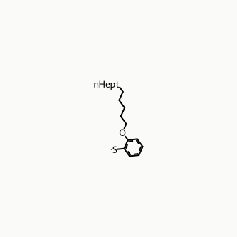 CCCCCCCCCCCCOc1ccccc1[S]